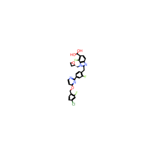 OC(O)c1ccc2nc(Cc3ccc(-c4nccc(OCc5ccc(Cl)cc5F)n4)cc3F)n(C[C@@H]3CCO3)c2c1F